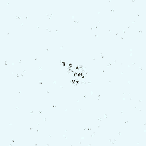 [AlH3].[CaH2].[Mn].[SiH4].[Ti]